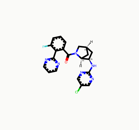 O=C(c1cccc(F)c1-c1ncccn1)N1C[C@H]2C[C@@H](Nc3ncc(Cl)cn3)[C@@H]1C2